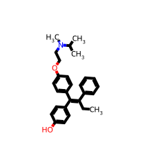 CC/C(=C(\c1ccc(O)cc1)c1ccc(OCCN(C)C(C)C)cc1)c1ccccc1